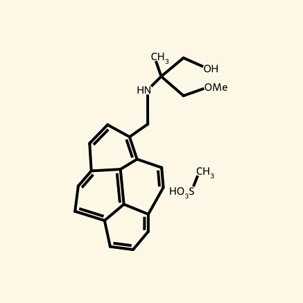 COCC(C)(CO)NCc1ccc2ccc3cccc4ccc1c2c34.CS(=O)(=O)O